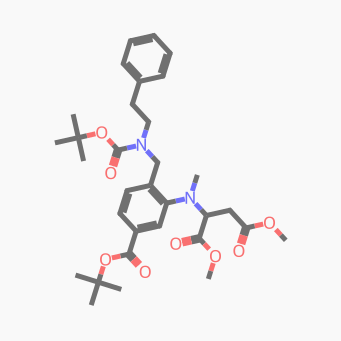 COC(=O)CC(C(=O)OC)N(C)c1cc(C(=O)OC(C)(C)C)ccc1CN(CCc1ccccc1)C(=O)OC(C)(C)C